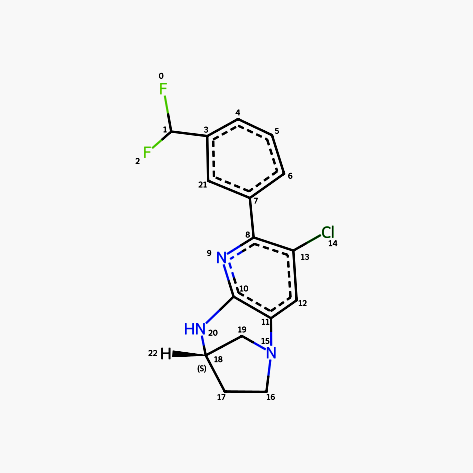 FC(F)c1cccc(-c2nc3c(cc2Cl)N2CC[C@@H](C2)N3)c1